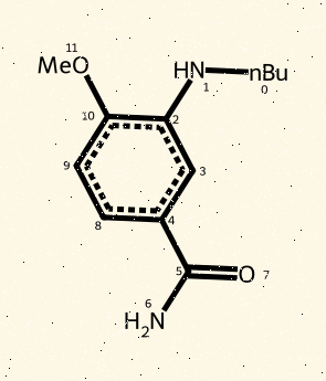 CCCCNc1cc(C(N)=O)ccc1OC